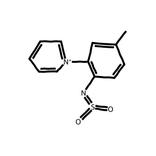 Cc1ccc(N=S(=O)=O)c(-[n+]2ccccc2)c1